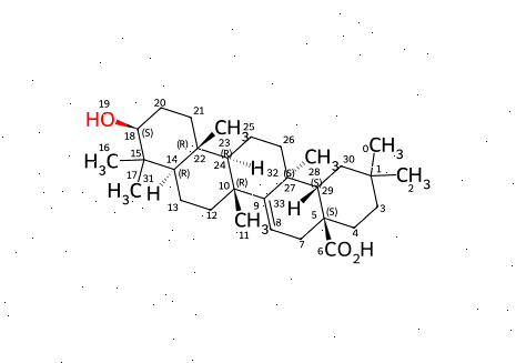 CC1(C)CC[C@]2(C(=O)O)CC=C3[C@]4(C)CC[C@H]5C(C)(C)[C@@H](O)CC[C@]5(C)[C@H]4CC[C@@]3(C)[C@@H]2C1